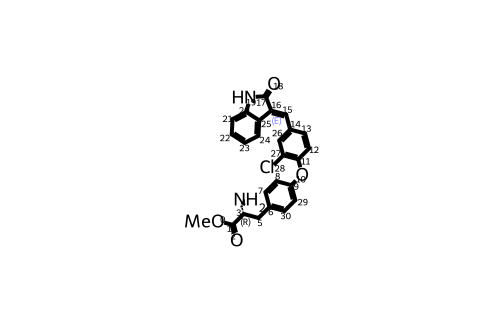 COC(=O)[C@H](N)Cc1ccc(Oc2ccc(/C=C3/C(=O)Nc4ccccc43)cc2Cl)cc1